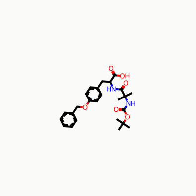 CC(C)(C)OC(=O)NC(C)(C)C(=O)NC(Cc1ccc(OCc2ccccc2)cc1)C(=O)O